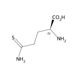 NC(=S)CC[C@H](N)C(=O)O